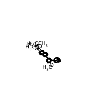 COc1ccc(-c2ccc3cc(B4OC(C)(C)C(C)(C)O4)ccc3c2)cc1C12CC3CC(C1)C(C3)C2